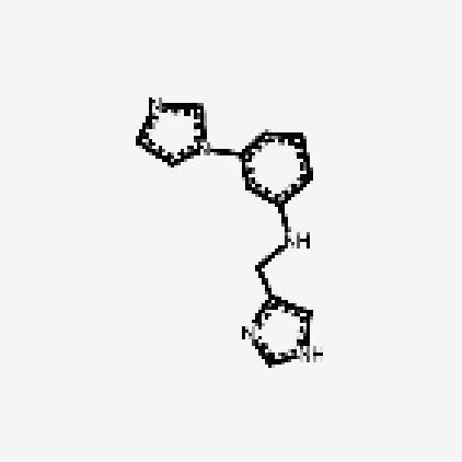 c1cc(NCc2c[nH]cn2)cc(-n2ccnc2)c1